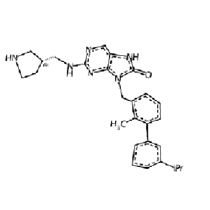 Cc1c(Cn2c(=O)[nH]c3cnc(NC[C@@H]4CCNC4)nc32)cccc1-c1cccc(C(C)C)c1